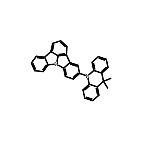 CC1(C)c2ccccc2N(c2ccc3c(c2)c2cccc4c5ccccc5n3c42)c2ccccc21